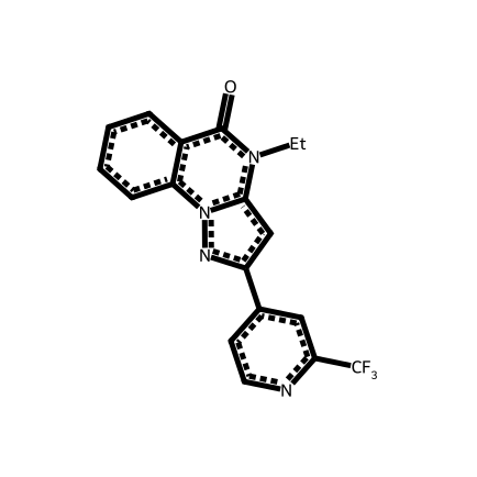 CCn1c(=O)c2ccccc2n2nc(-c3ccnc(C(F)(F)F)c3)cc12